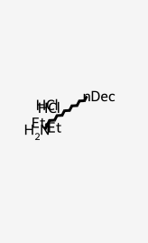 CCCCCCCCCCCCCCCCCCCCC(N)(CC)CC.Cl.Cl